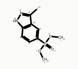 COP(=O)(OC)c1ccc2[nH]nc(I)c2c1